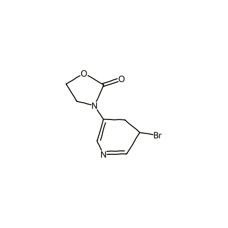 O=C1OCCN1C1=CN=CC(Br)C1